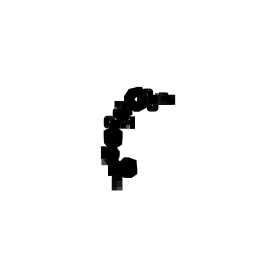 CC(C)(C)C(=O)ON1CCCC(n2cc(NC(=O)c3ccc(-n4cc(-c5n[nH]c6ccccc56)nn4)cc3)cn2)CC1